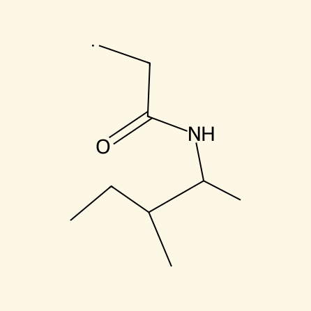 [CH2]CC(=O)NC(C)C(C)CC